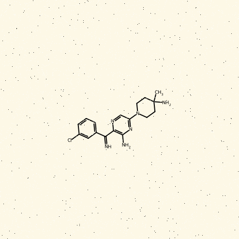 CC1(N)CCN(c2cnc(C(=N)c3cccc(Cl)c3)c(N)n2)CC1